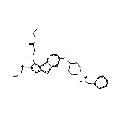 CCOC(=O)COc1c(C(=O)OC)sc2cc3cc(NC4CCN(S(=O)(=O)Cc5ccccc5)CC4)csc-3c12